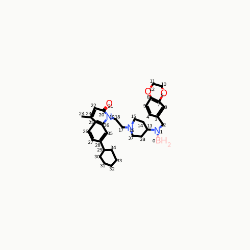 BN(Cc1ccc2c(c1)OCCO2)C1CCN(CCn2c(=O)cc(C)c3ccc(C4CCCCC4)cc32)CC1